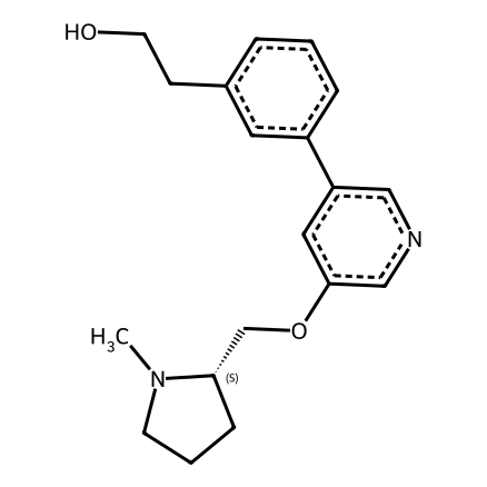 CN1CCC[C@H]1COc1cncc(-c2cccc(CCO)c2)c1